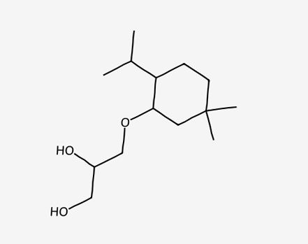 CC(C)C1CCC(C)(C)CC1OCC(O)CO